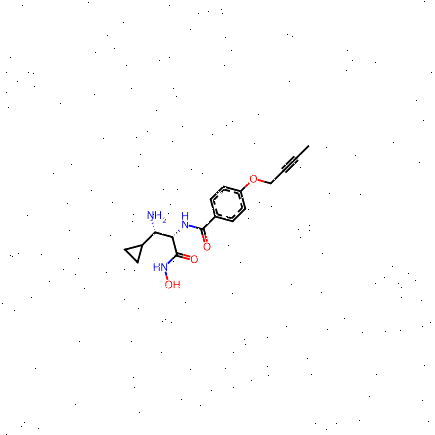 CC#CCOc1ccc(C(=O)N[C@H](C(=O)NO)[C@@H](N)C2CC2)cc1